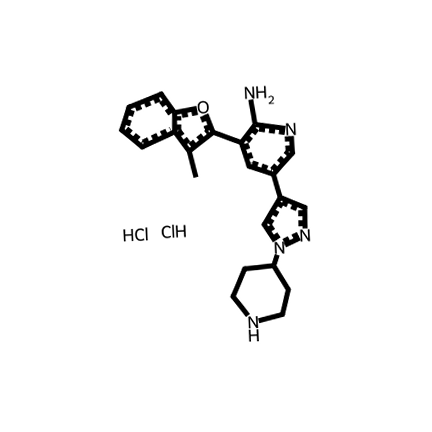 Cc1c(-c2cc(-c3cnn(C4CCNCC4)c3)cnc2N)oc2ccccc12.Cl.Cl